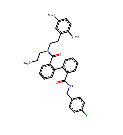 COc1ccc(OC)c(CCN(CCC(=O)O)C(=O)c2ccccc2-c2ccccc2C(=O)NCc2ccc(F)cc2)c1